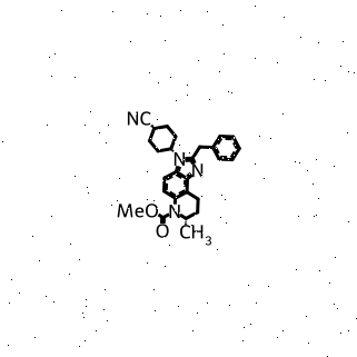 COC(=O)N1c2ccc3c(nc(Cc4ccccc4)n3[C@H]3CC[C@H](C#N)CC3)c2CC[C@@H]1C